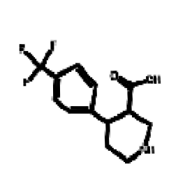 O=C(O)C1CNCCC1c1ccc(C(F)(F)F)cc1